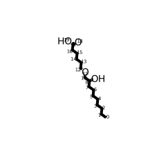 CCCCCCCCC(O)COCCCCCC(=O)O